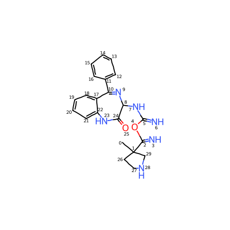 CC1(C(=N)OC(=N)NC2N=C(c3ccccc3)c3ccccc3NC2=O)CCNC1